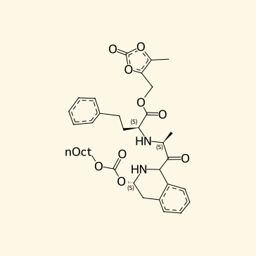 CCCCCCCCOC(=O)O[C@H]1Cc2ccccc2C(C(=O)[C@H](C)N[C@@H](CCc2ccccc2)C(=O)OCc2oc(=O)oc2C)N1